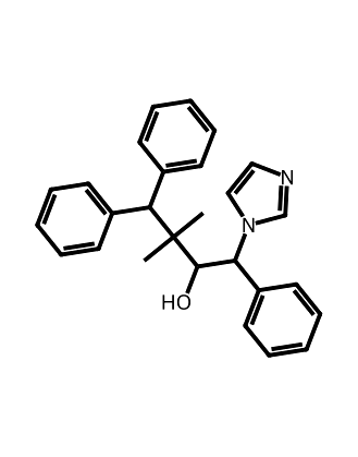 CC(C)(C(c1ccccc1)c1ccccc1)C(O)C(c1ccccc1)n1ccnc1